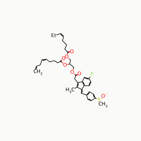 C=CC/C=C\CCCC(=O)OC(COC(=O)CCC/C=C\CC)COC(=O)CC1=C(C)/C(=C/c2ccc([S+](C)[O-])cc2)c2ccc(F)cc21